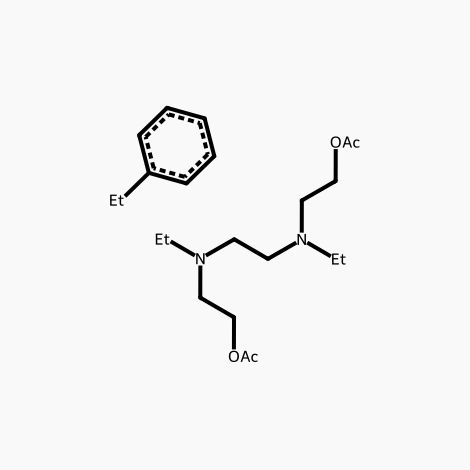 CCN(CCOC(C)=O)CCN(CC)CCOC(C)=O.CCc1ccccc1